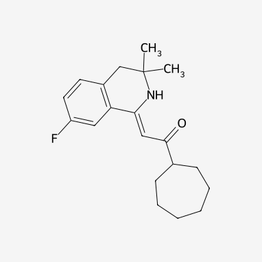 CC1(C)Cc2ccc(F)cc2C(=CC(=O)C2CCCCCC2)N1